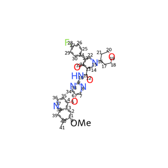 COc1cc2c(Oc3cnc(NC(=O)c4cn(C5CCOCC5)cc(-c5ccc(F)cc5)c4=O)nc3)ccnc2cc1C